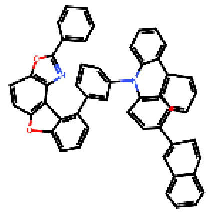 c1ccc(-c2nc3c(ccc4oc5cccc(-c6cccc(N(c7ccc(-c8ccc9ccccc9c8)cc7)c7ccccc7-c7ccccc7)c6)c5c43)o2)cc1